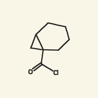 O=C(Cl)C12CCCCC1C2